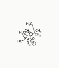 C#CCN1CCC2=C(C1)c1c(cc(C(C)C(C)CCCCC)cc1C(CC)C(=O)ON1CCCCC1)OC2(C)C